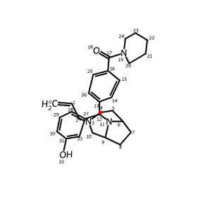 C=CCN1CCC2CCC(C1)N2C(c1ccc(C(=O)N2CCCCC2)cc1)c1cccc(O)c1